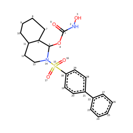 O=C(NO)OC1C2CCCCC2CCN1S(=O)(=O)c1ccc(-c2ccccc2)cc1